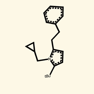 CC(C)(C)c1ccc(CCc2ccccc2)n1CC1CC1